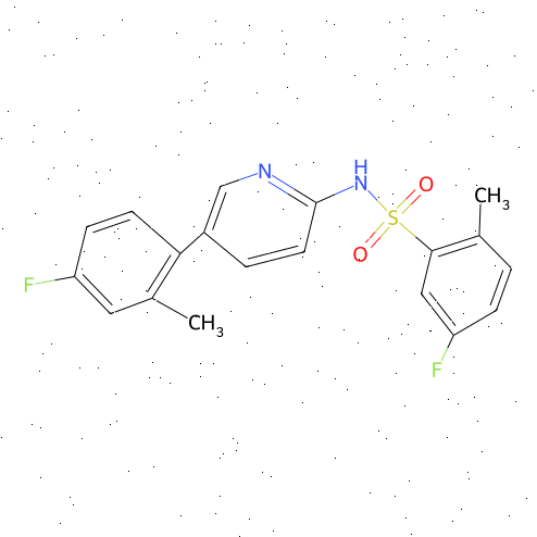 Cc1cc(F)ccc1-c1ccc(NS(=O)(=O)c2cc(F)ccc2C)nc1